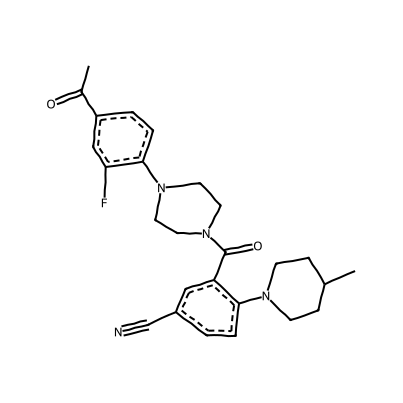 CC(=O)c1ccc(N2CCN(C(=O)c3cc(C#N)ccc3N3CCC(C)CC3)CC2)c(F)c1